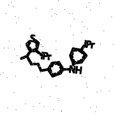 CC(C)c1ccc(Nc2ccc(CCCC(C)c3cscc3C(C)C)cc2)cc1